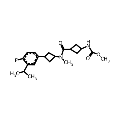 COC(=O)NC1CC(C(=O)N(C)C2CC(c3ccc(F)c(C(C)C)c3)C2)C1